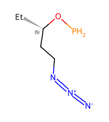 CC[C@@H](CCN=[N+]=[N-])OP